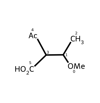 COC(C)C(C(C)=O)C(=O)O